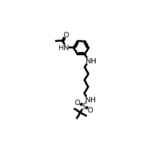 CC(=O)Nc1cccc(NCCCCCNS(=O)(=O)C(C)(C)C)c1